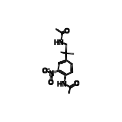 CC(=O)NCC(C)(C)c1ccc(NC(C)=O)c([N+](=O)[O-])c1